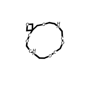 C1COCCOCCNCCOCC2(COCCN1)COC2